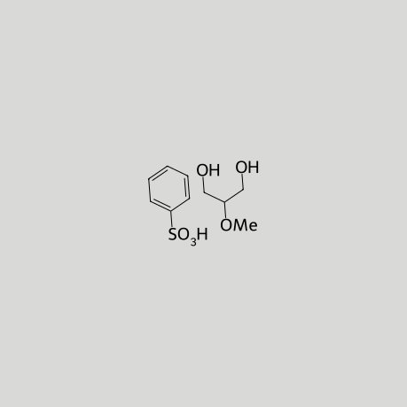 COC(CO)CO.O=S(=O)(O)c1ccccc1